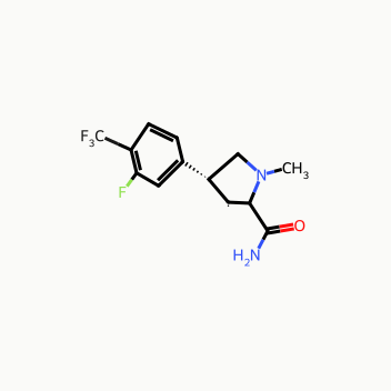 CN1C[C@@H](c2ccc(C(F)(F)F)c(F)c2)[CH]C1C(N)=O